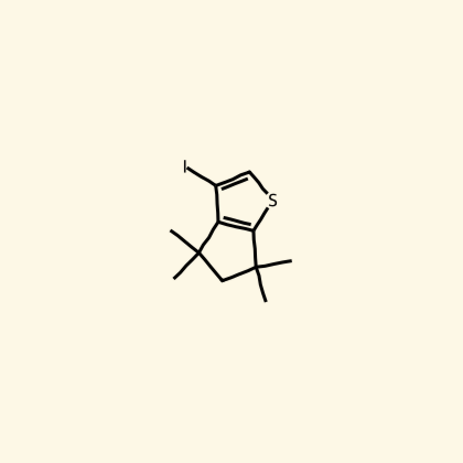 CC1(C)CC(C)(C)c2c(I)csc21